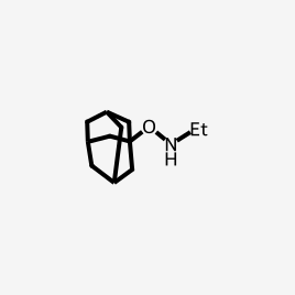 CCNOC12CC3CC(CC(C3)C1)C2